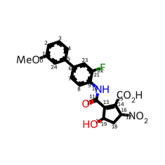 COc1cccc(-c2ccc(NC(=O)C3=C(C(=O)O)C([N+](=O)[O-])CC3O)c(F)c2)c1